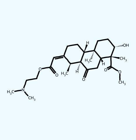 COC(=O)[C@]1(C)[C@@H]2CC(=O)[C@H]3[C@@H](C)/C(=C\C(=O)OCCN(C)C)CC[C@@H]3[C@@]2(C)CC[C@@H]1O